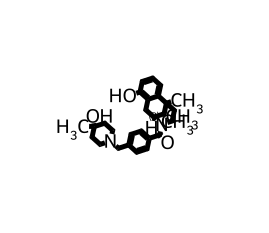 CC1(O)CCN(Cc2ccc(C(=O)N3CCC4(C)c5cccc(O)c5C[C@@H]3C4(C)C)cc2)CC1